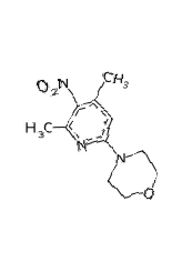 Cc1cc(N2CCOCC2)nc(C)c1[N+](=O)[O-]